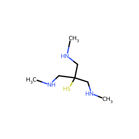 CNCC(S)(CNC)CNC